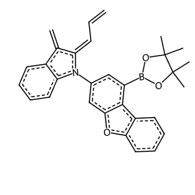 C=C/C=c1\c(=C)c2ccccc2n1-c1cc(B2OC(C)(C)C(C)(C)O2)c2c(c1)oc1ccccc12